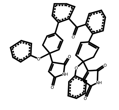 O=C1C=C(C2(Oc3ccccc3)C=CC(c3ccccc3C(=O)c3ccccc3C3=CCC(Oc4ccccc4)(C4=CC(=O)NC4=O)C=C3)=CC2)C(=O)N1